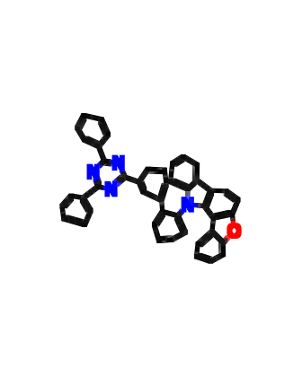 c1ccc(-c2nc(-c3ccccc3)nc(-c3cccc(-c4ccccc4-n4c5ccccc5c5ccc6oc7ccccc7c6c54)c3)n2)cc1